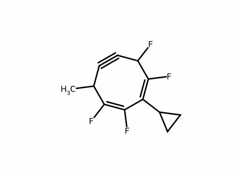 CC1C#CC(F)/C(F)=C(C2CC2)\C(F)=C/1F